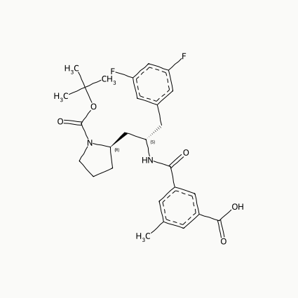 Cc1cc(C(=O)O)cc(C(=O)N[C@@H](Cc2cc(F)cc(F)c2)C[C@H]2CCCN2C(=O)OC(C)(C)C)c1